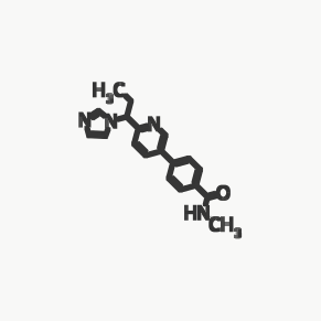 CCC(c1ccc(-c2ccc(C(=O)NC)cc2)cn1)n1ccnc1